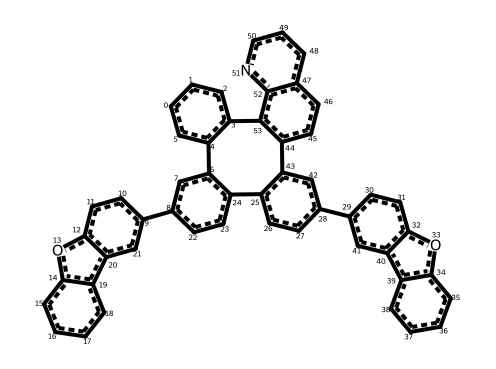 c1ccc2c(c1)-c1cc(-c3ccc4oc5ccccc5c4c3)ccc1-c1ccc(-c3ccc4oc5ccccc5c4c3)cc1-c1ccc3cccnc3c1-2